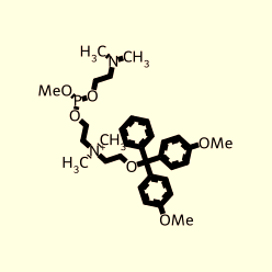 COc1ccc(C(OCC[N+](C)(C)CCOP(OC)OCCN(C)C)(c2ccccc2)c2ccc(OC)cc2)cc1